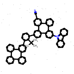 CC(C)(C)c1c(-c2ccc3c(c2)-c2ccccc2-c2ccccc2-c2ccccc2-3)cccc1-c1ccc2c(c1)-c1ccc(C#N)cc1-c1ccccc1-c1cc(-n3c4ccccc4c4ccccc43)ccc1-2